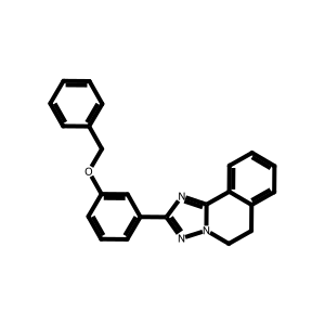 c1ccc(COc2cccc(-c3nc4n(n3)CCc3ccccc3-4)c2)cc1